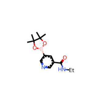 CCNC(=O)c1cncc(B2OC(C)(C)C(C)(C)O2)c1